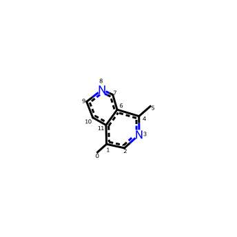 Cc1cnc(C)c2cnccc12